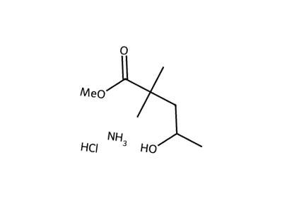 COC(=O)C(C)(C)CC(C)O.Cl.N